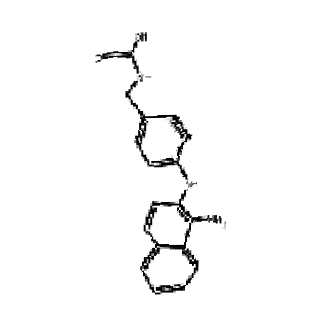 Nc1c(Nc2ccc(CNC(=O)O)cc2)ccc2ccccc12